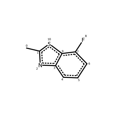 Cc1nc2cccc(F)c2s1